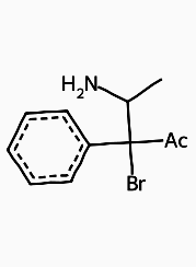 CC(=O)C(Br)(c1ccccc1)C(C)N